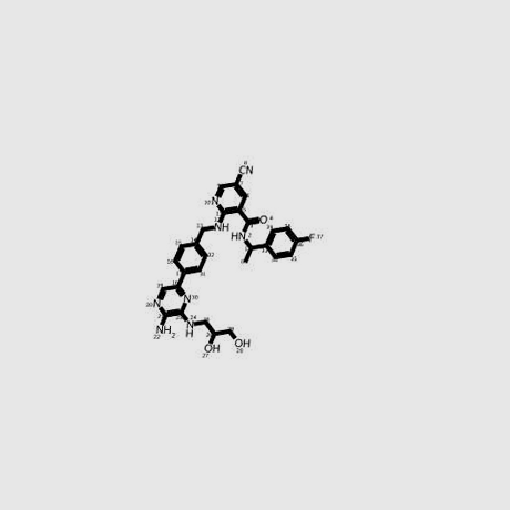 CC(NC(=O)c1cc(C#N)cnc1NCc1ccc(-c2cnc(N)c(NCC(O)CO)n2)cc1)c1ccc(F)cc1